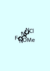 COc1ncc(F)cc1-c1c(C)c2cc(Cl)ncc2n1C